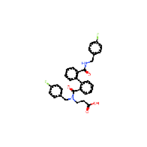 O=C(O)CCN(Cc1ccc(F)cc1)C(=O)c1ccccc1-c1ccccc1C(=O)NCc1ccc(F)cc1